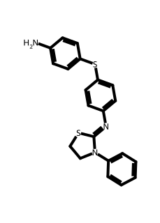 Nc1ccc(Sc2ccc(N=C3SCCN3c3ccccc3)cc2)cc1